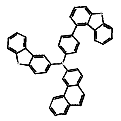 c1ccc2c(c1)ccc1ccc(N(c3ccc(-c4cccc5sc6ccccc6c45)cc3)c3ccc4sc5ccccc5c4c3)cc12